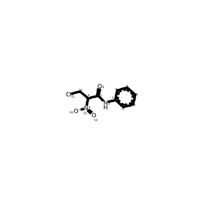 O=C(Nc1ccccc1)C(CCl)[N+](=O)[O-]